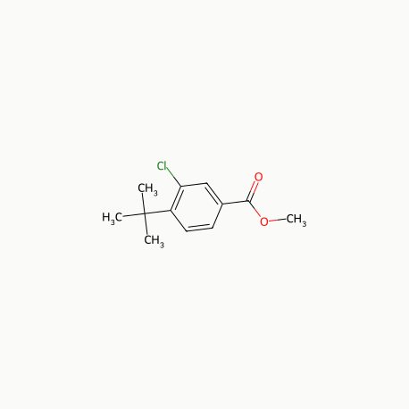 COC(=O)c1ccc(C(C)(C)C)c(Cl)c1